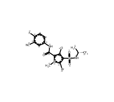 C[C@@H](NS(=O)(=O)c1c(Cl)c(C(=O)Nc2ccc(F)c(C#N)c2)n(C)c1Br)C(F)(F)F